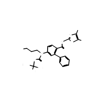 CCCCN(C(=O)OC(C)(C)C)c1ccc(C(=O)Nc2nc(C)c(Cl)s2)c(-c2ccccc2)c1